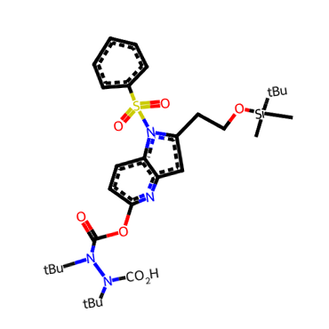 CC(C)(C)N(C(=O)O)N(C(=O)Oc1ccc2c(cc(CCO[Si](C)(C)C(C)(C)C)n2S(=O)(=O)c2ccccc2)n1)C(C)(C)C